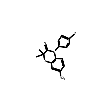 CC1(C)Oc2cc([N+](=O)[O-])ccc2N(c2ccc(F)cc2)C1=O